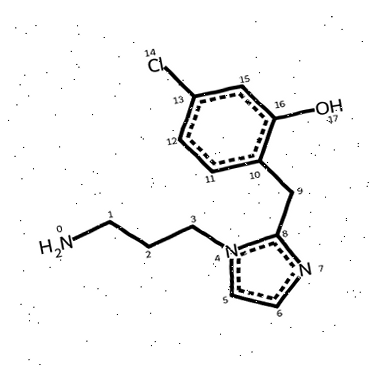 NCCCn1ccnc1Cc1ccc(Cl)cc1O